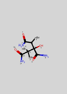 CCCCC(C(N)=O)C(O)(C(N)=O)C(CCCC)(CCCC)C(N)=O